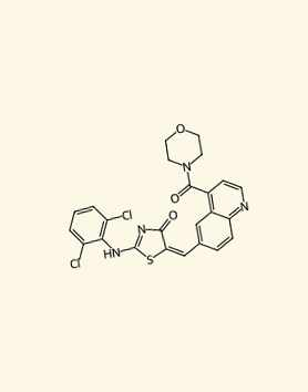 O=C1N=C(Nc2c(Cl)cccc2Cl)SC1=Cc1ccc2nccc(C(=O)N3CCOCC3)c2c1